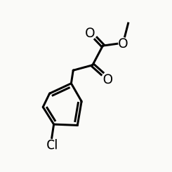 COC(=O)C(=O)Cc1ccc(Cl)cc1